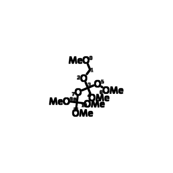 COCOC(OC)(OOC)OC(OC)(OC)OC